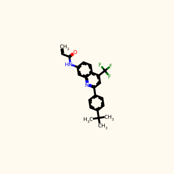 C=CC(=O)Nc1ccc2c(C(F)(F)F)cc(-c3ccc(C(C)(C)C)cc3)nc2c1